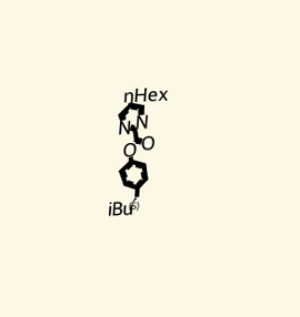 CCCCCCc1cnc(C(=O)Oc2ccc(C[C@@H](C)CC)cc2)nc1